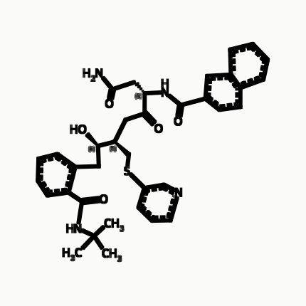 CC(C)(C)NC(=O)c1ccccc1C[C@@H](O)[C@H](CSc1cccnc1)CC(=O)[C@H](CC(N)=O)NC(=O)c1ccc2ccccc2c1